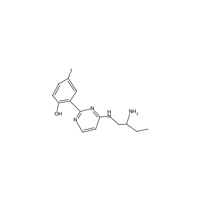 CCC(N)CNc1ccnc(-c2cc(I)ccc2O)n1